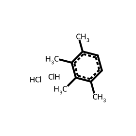 Cc1ccc(C)c(C)c1C.Cl.Cl